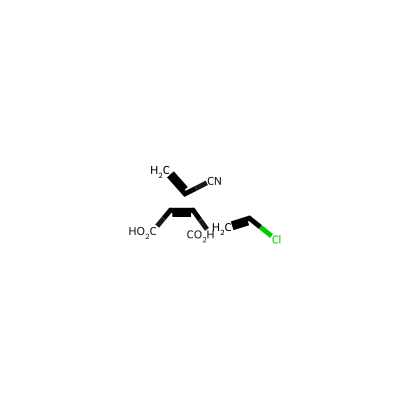 C=CC#N.C=CCl.O=C(O)/C=C\C(=O)O